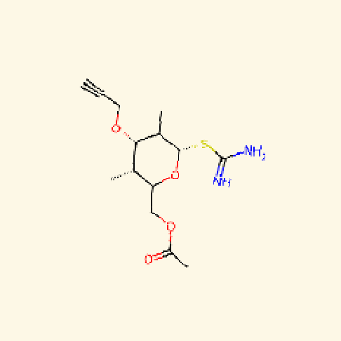 C#CCO[C@@H]1C(C)[C@H](SC(=N)N)OC(COC(C)=O)[C@@H]1C